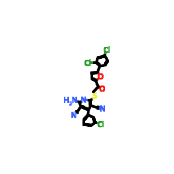 N#Cc1c(N)nc(SCC(=O)c2ccc(-c3ccc(Cl)cc3Cl)o2)c(C#N)c1-c1cccc(Cl)c1